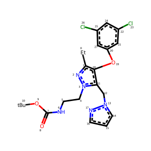 CCc1nn(CCNC(=O)OC(C)(C)C)c(Cn2cccn2)c1Oc1cc(Cl)cc(Cl)c1